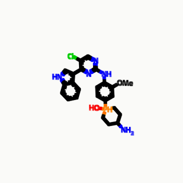 COc1cc([PH]2(O)CCC(N)CC2)ccc1Nc1ncc(Cl)c(-c2c[nH]c3ccccc23)n1